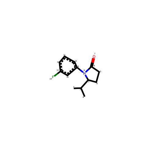 CC(C)C1CCC(=O)N1c1cccc(F)c1